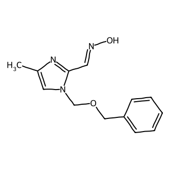 Cc1cn(COCc2ccccc2)c(/C=N/O)n1